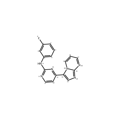 Fc1cccc(Nc2nccc(-c3cnc4ncccn34)n2)c1